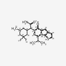 CC(C)c1nn(C(C(N)=O)C2CN(C)CC(F)(F)C2)c(=O)c2cc3ccsc3n12